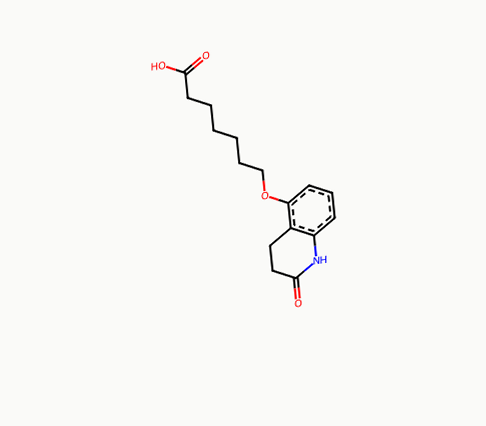 O=C(O)CCCCCCOc1cccc2c1CCC(=O)N2